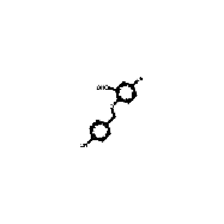 O=Cc1cc(Br)ccc1OCc1ccc(N=O)cc1